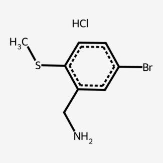 CSc1ccc(Br)cc1CN.Cl